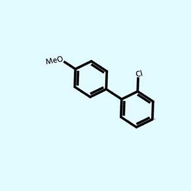 COc1ccc(-c2cc[c]cc2Cl)cc1